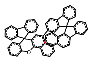 c1ccc2c(c1)Oc1c(cc(-c3ccc4c(c3)C3(c5ccccc5-4)c4ccccc4-c4ccc5ccccc5c43)c3ccccc13)C21c2ccccc2-c2ccccc21